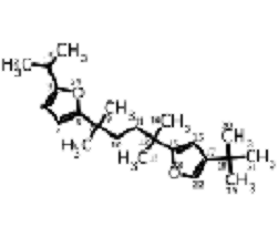 CC(C)c1ccc(C(C)(C)CCC(C)(C)c2cc(C(C)(C)C)co2)o1